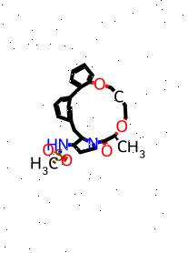 C[C@@H]1OCCCCOc2ccccc2-c2cccc(c2)CC2C(NS(C)(=O)=O)CCN2C1=O